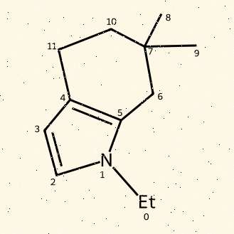 CCn1ccc2c1CC(C)(C)CC2